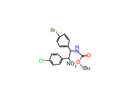 CC(C)(C)OC(=O)NC(c1ccc(Br)cc1)C(c1ccc(Cl)cc1)[N+](=O)[O-]